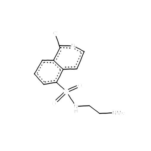 CNCCNS(=O)(=O)c1cccc2c(Cl)nccc12